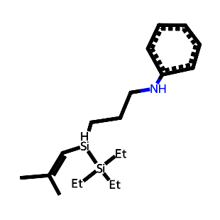 CC[Si](CC)(CC)[SiH](C=C(C)C)CCCNc1ccccc1